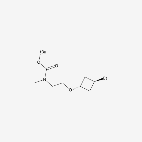 CC[C@H]1C[C@H](OCCN(C)C(=O)OC(C)(C)C)C1